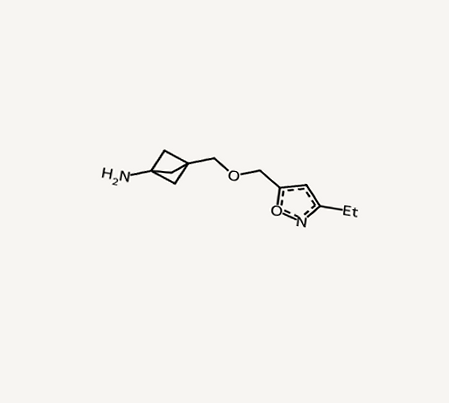 CCc1cc(COCC23CC(N)(C2)C3)on1